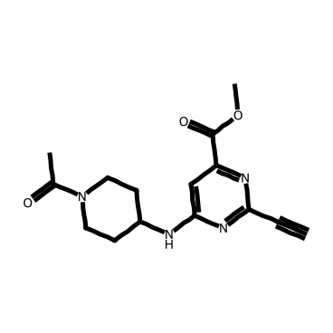 C#Cc1nc(NC2CCN(C(C)=O)CC2)cc(C(=O)OC)n1